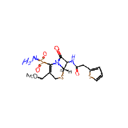 CC(=O)OCC1=C(S(N)(=O)=O)N2C(=O)C(NC(=O)Cc3cccs3)[C@@H]2SC1